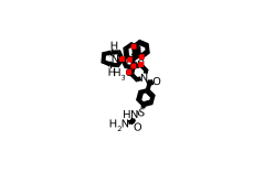 Cc1nc2ccccc2n1C1C[C@H]2CC[C@@H](C1)N2CCC1(c2ccccc2)CCN(C(=O)c2ccc(SNC(N)=O)cc2)CC1